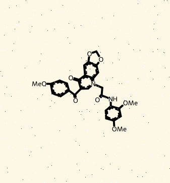 COc1ccc(C(=O)c2cn(CC(=O)Nc3ccc(OC)cc3OC)c3cc4c(cc3c2=O)OCO4)cc1